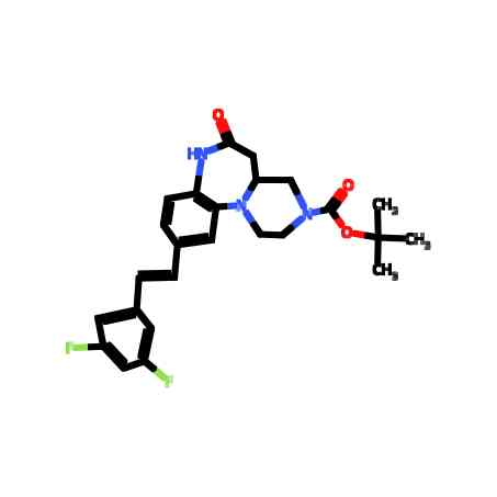 CC(C)(C)OC(=O)N1CCN2c3cc(C=Cc4cc(F)cc(F)c4)ccc3NC(=O)CC2C1